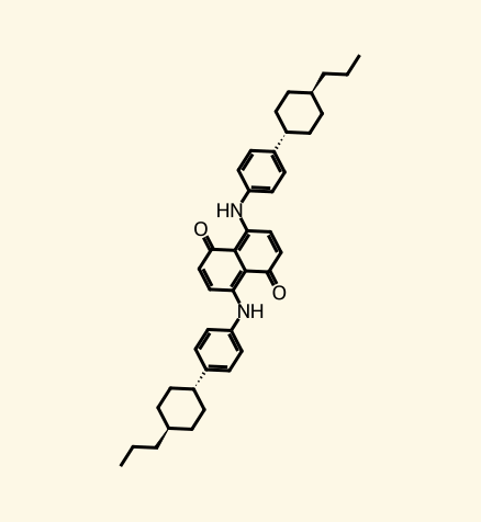 CCC[C@H]1CC[C@H](c2ccc(NC3=C4C(=O)C=CC(Nc5ccc([C@H]6CC[C@H](CCC)CC6)cc5)=C4C(=O)C=C3)cc2)CC1